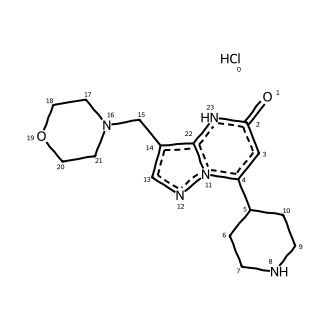 Cl.O=c1cc(C2CCNCC2)n2ncc(CN3CCOCC3)c2[nH]1